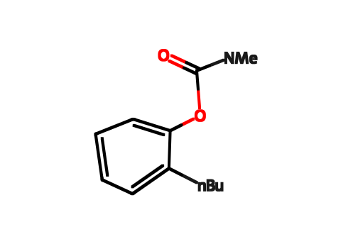 CCCCc1ccccc1OC(=O)NC